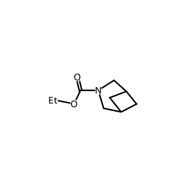 CCOC(=O)N1CC2CC(C2)C1